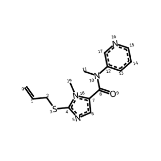 C=CCSc1ncc(C(=O)N(C)c2cccnc2)n1C